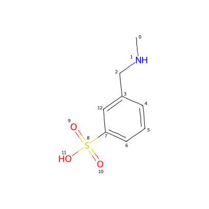 CNCc1cccc(S(=O)(=O)O)c1